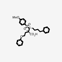 COc1ccc(S(=O)(=O)[C@H](CCCCc2ccccc2)[C@H](CCOc2ccccc2)C(=O)O)cc1